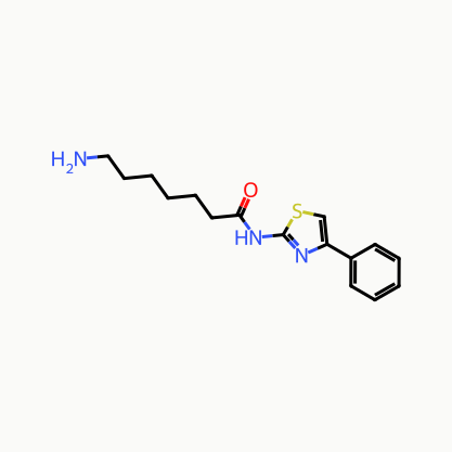 NCCCCCCC(=O)Nc1nc(-c2ccccc2)cs1